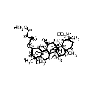 CC1(C(=O)O)CC[C@]2(C)CC[C@]3(C)[C@H](CC(=O)[C@@H]4[C@@]5(C)CC(OC(=O)CCC(=O)O)=CC(C)(C)C5CC[C@]43C)[C@H]2C1